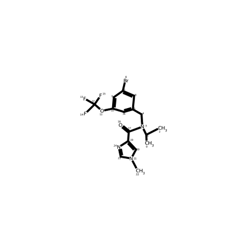 CC(C)N(Cc1cc(Br)cc(OC(F)(F)F)c1)C(=O)c1cn(C)cn1